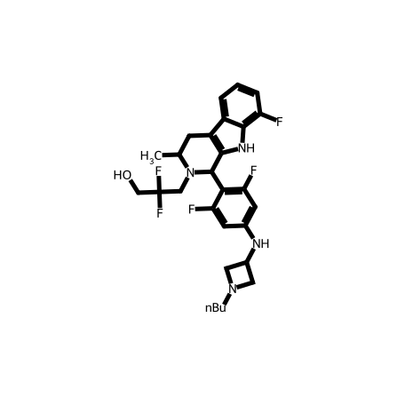 CCCCN1CC(Nc2cc(F)c(C3c4[nH]c5c(F)cccc5c4CC(C)N3CC(F)(F)CO)c(F)c2)C1